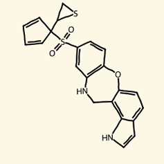 O=S(=O)(c1ccc2c(c1)NCc1c(ccc3cc[nH]c13)O2)C1(C2CS2)C=CC=C1